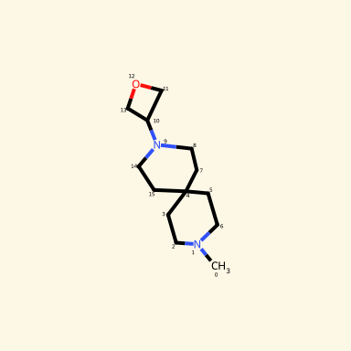 CN1CCC2(CC1)CCN(C1COC1)CC2